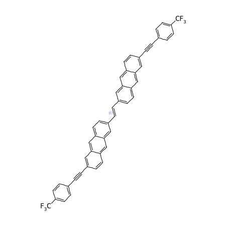 FC(F)(F)c1ccc(C#Cc2ccc3cc4cc(/C=C/c5ccc6cc7cc(C#Cc8ccc(C(F)(F)F)cc8)ccc7cc6c5)ccc4cc3c2)cc1